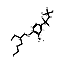 CCCCC(CC)CSc1ccc(C(C)(C)CC(C)(C)C)cc1N